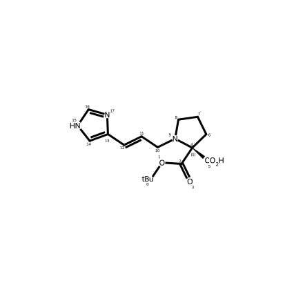 CC(C)(C)OC(=O)[C@@]1(C(=O)O)CCCN1CC=Cc1c[nH]cn1